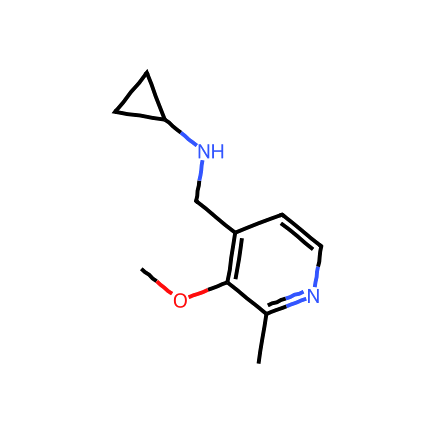 COc1c(CNC2CC2)ccnc1C